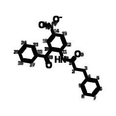 O=C(CCc1ccccc1)Nc1ccc([N+](=O)[O-])cc1C(=O)c1ccccc1